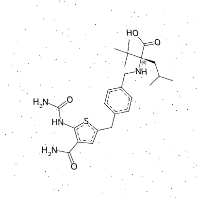 CC(C)C[C@](NCc1ccc(Cc2cc(C(N)=O)c(NC(N)=O)s2)cc1)(C(=O)O)C(C)(C)C